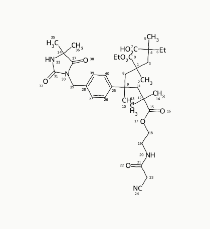 CCOC(=O)C(C)(CC(C)(CC)C(=O)O)CC(C)(CC(C)(C)C(=O)OCCNC(=O)CC#N)c1ccc(CN2C(=O)NC(C)(C)C2=O)cc1